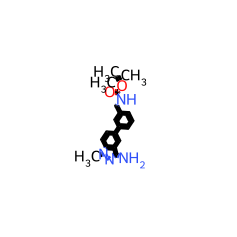 Cn1nc(N)c2cc(-c3cccc(CNC(=O)OC(C)(C)C)c3)ccc21